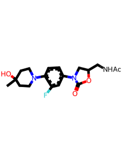 CC(=O)NCC1CN(c2ccc(N3CCC(C)(O)CC3)c(F)c2)C(=O)O1